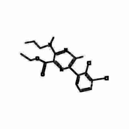 CCCN(C)c1nc(C)c(-c2cccc(Cl)c2Cl)nc1C(=O)OCC